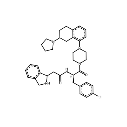 O=C(CC1NCc2ccccc21)N[C@H](Cc1ccc(Cl)cc1)C(=O)N1CCN(c2cccc3c2CC(N2CCCC2)CC3)CC1